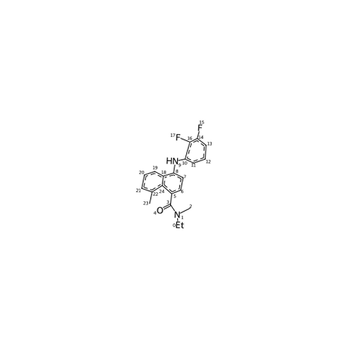 CCN(C)C(=O)c1ccc(Nc2cccc(F)c2F)c2cccc(C)c12